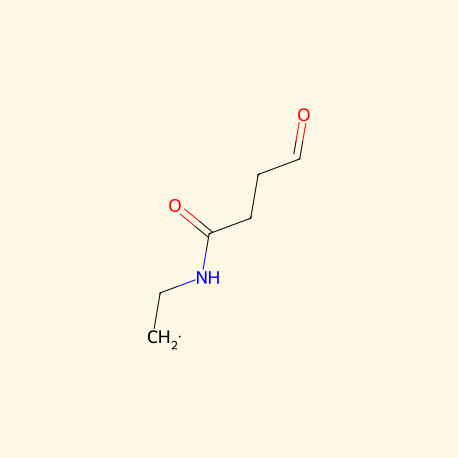 [CH2]CNC(=O)CCC=O